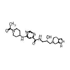 CC(=O)N1CCC(Nc2cc(C(=O)NC[C@H](O)CN3CCc4cn[nH]c4C3)ncn2)CC1